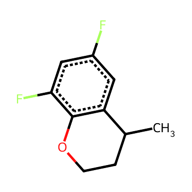 CC1CCOc2c(F)cc(F)cc21